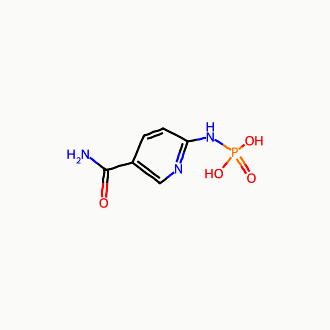 NC(=O)c1ccc(NP(=O)(O)O)nc1